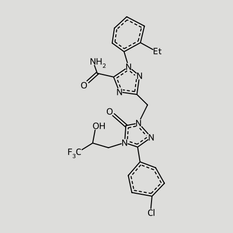 CCc1ccccc1-n1nc(Cn2nc(-c3ccc(Cl)cc3)n(CC(O)C(F)(F)F)c2=O)nc1C(N)=O